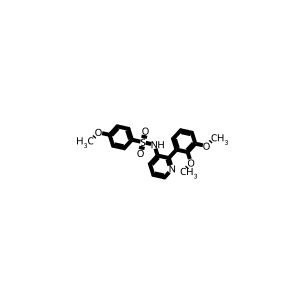 COc1ccc(S(=O)(=O)Nc2cccnc2-c2cccc(OC)c2OC)cc1